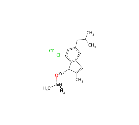 CC1=Cc2cc(CC(C)C)ccc2[CH]1[Zr+2][O][SiH](C)C.[Cl-].[Cl-]